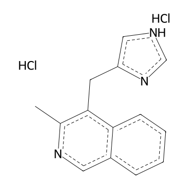 Cc1ncc2ccccc2c1Cc1c[nH]cn1.Cl.Cl